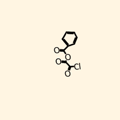 O=C(Cl)C(=O)OC(=O)c1ccccc1